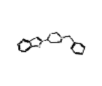 c1ccc(CN2CCC(c3cc4ccccc4o3)CC2)cc1